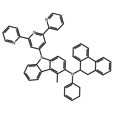 Cc1c(N(C2=CC=CCC2)C2Cc3ccccc3-c3ccccc32)ccc2c1c1ccccc1n2-c1cc(-c2ccccn2)nc(-c2ccccn2)c1